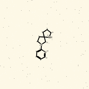 c1ccc(N2CCC3(CCCN3)C2)nc1